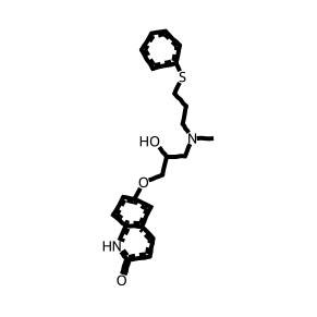 CN(CCCSc1ccccc1)CC(O)COc1ccc2[nH]c(=O)ccc2c1